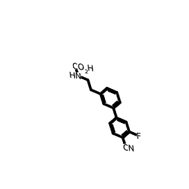 N#Cc1ccc(-c2cccc(CCNC(=O)O)c2)cc1F